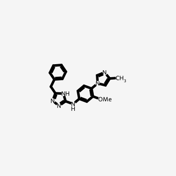 COc1cc(Nc2nnc(Cc3ccccc3)[nH]2)ccc1-n1cnc(C)c1